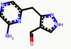 Nc1cncc(Cc2n[nH]cc2C=O)n1